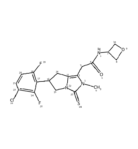 Cn1c(CC(=O)NC2COC2)c2n(c1=S)CC(c1c(F)ccc(Cl)c1F)C2